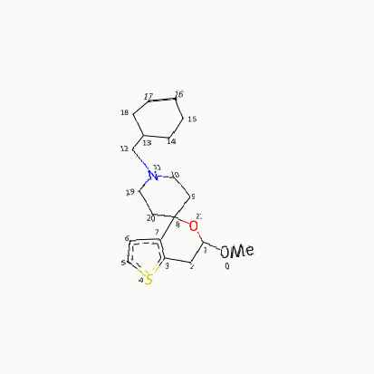 COC1Cc2sccc2C2(CCN(CC3CCCCC3)CC2)O1